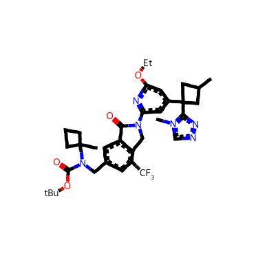 CCOc1cc(C2(c3nncn3C)CC(C)C2)cc(N2Cc3c(cc(CN(C(=O)OC(C)(C)C)C4(C)CCC4)cc3C(F)(F)F)C2=O)n1